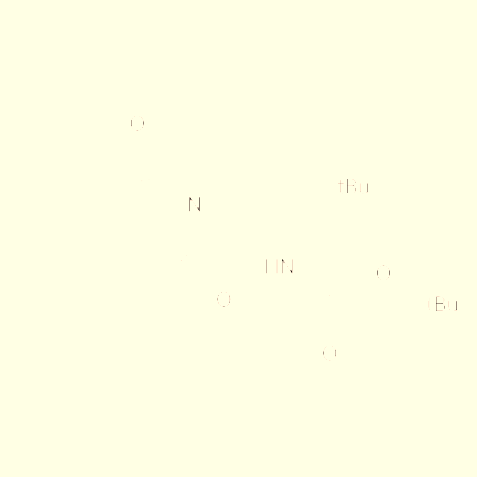 CC(C)(C)OC(=O)NC(CN1C(=O)c2ccccc2C1=O)C(C)(C)C